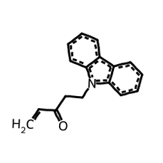 C=CC(=O)CCn1c2ccccc2c2ccccc21